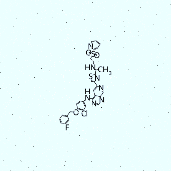 CC(NCCS(=O)(=O)c1ccccn1)c1nc(-c2cc3c(Nc4ccc(OCc5cccc(F)c5)c(Cl)c4)ncnc3cn2)cs1